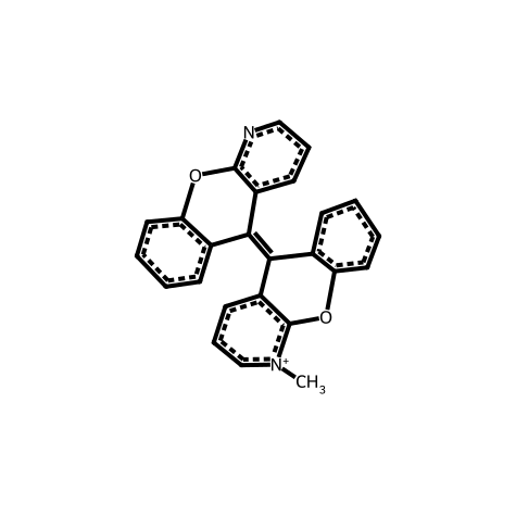 C[n+]1cccc2c1Oc1ccccc1/C2=C1/c2ccccc2Oc2ncccc21